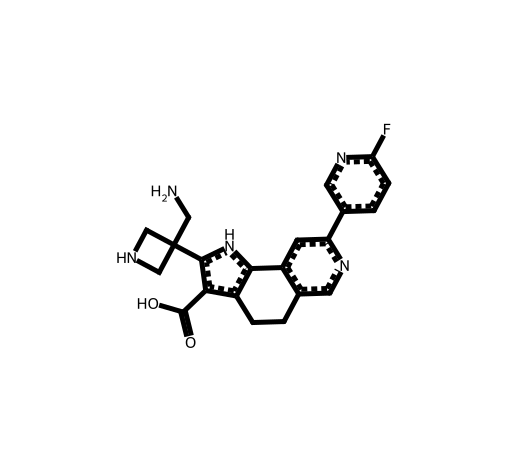 NCC1(c2[nH]c3c(c2C(=O)O)CCc2cnc(-c4ccc(F)nc4)cc2-3)CNC1